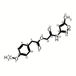 COc1ccc(CC(=O)OCC(=O)Nc2cc(C)on2)cc1